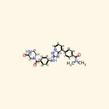 CN(C)C(=O)c1ccc(-c2cccn3nc(Nc4ccc(C(=O)N5CCNC(=O)C5)cc4)nc23)cc1